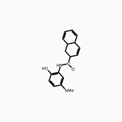 CNc1ccc(O)c(N[S+]([O-])C2C=CC3C=CC=CC3C2)c1